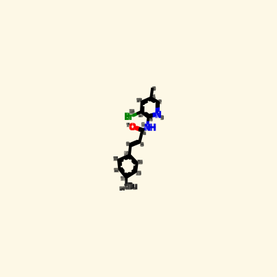 Cc1cnc(NC(=O)/C=C/c2ccc(C(C)(C)C)cc2)c(Br)c1